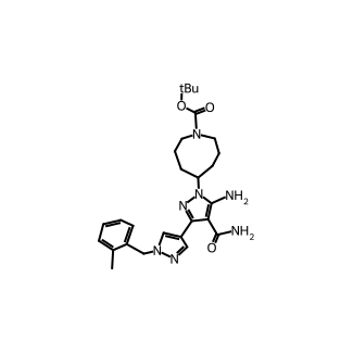 Cc1ccccc1Cn1cc(-c2nn(C3CCCN(C(=O)OC(C)(C)C)CCC3)c(N)c2C(N)=O)cn1